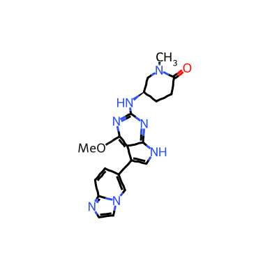 COc1nc(N[C@@H]2CCC(=O)N(C)C2)nc2[nH]cc(-c3ccc4nccn4c3)c12